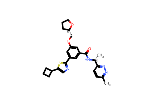 Cc1ccc([C@@H](C)NC(=O)c2cc(OC[C@@H]3CCCO3)cc(-c3ncc(C4CCC4)s3)c2)nn1